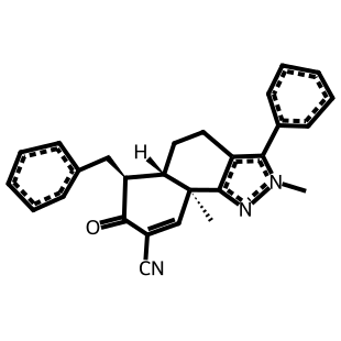 Cn1nc2c(c1-c1ccccc1)CC[C@H]1[C@H](Cc3ccccc3)C(=O)C(C#N)=C[C@]21C